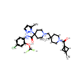 CC(C)c1ccnn1C1(C(=O)Nc2ccc(Cl)cc2OC(F)F)CCN(CC2(C(=O)O)CCN(C(=O)C34CC(C#N)(C3)C4)CC2)CC1